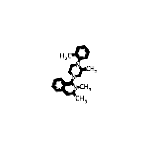 C=C1CN(C2=c3ccccc3=CC(C)N2C)CCN1c1ccccc1C